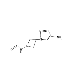 Nc1cnn(C2CN(BC=O)C2)c1